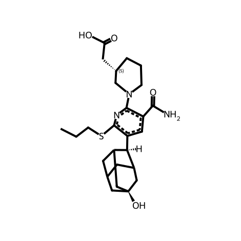 CCCSc1nc(N2CCC[C@@H](CC(=O)O)C2)c(C(N)=O)cc1[C@H]1C2CC3CC1C[C@@](O)(C3)C2